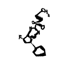 CCCS(=O)(=O)c1nc2n(n1)[C@H](c1ccccc1)C[C@@H]2F